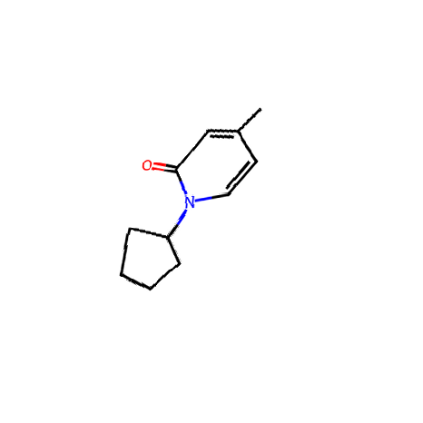 Cc1ccn(C2CCCC2)c(=O)c1